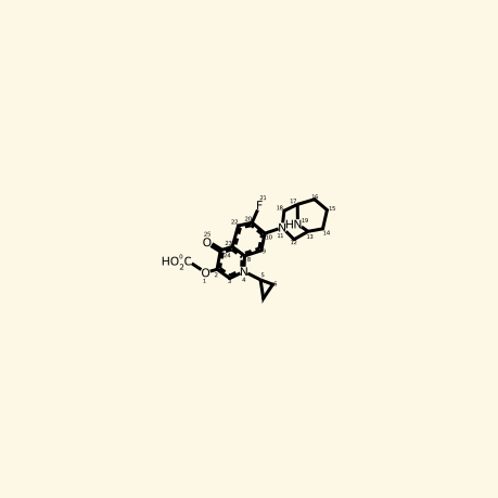 O=C(O)Oc1cn(C2CC2)c2cc(N3CC4CCCC(C3)N4)c(F)cc2c1=O